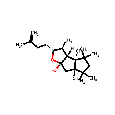 C=C(C)CC[C@H]1O[C@@]2(O)C[C@@]3(C)C(C)(C)CC(C)(C)[C@]3(C)[C@H]2[C@@H]1C